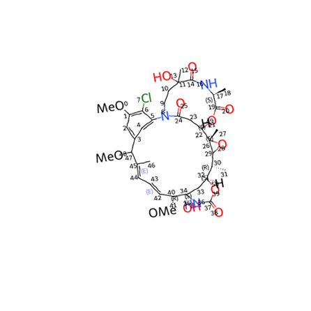 COc1cc2cc(c1Cl)N1CCC(C)(O)C(=O)N[C@@H](C)C(=O)O[C@@H](CC1=O)[C@]1(C)OC1[C@H](C)[C@@H]1C[C@@](O)(NC(=O)O1)[C@H](OC)/C=C/C=C(\C)C2OC